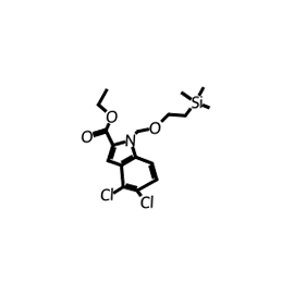 CCOC(=O)c1cc2c(Cl)c(Cl)ccc2n1COCC[Si](C)(C)C